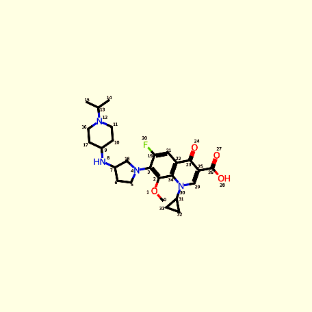 COc1c(N2CCC(NC3CCN(C(C)C)CC3)C2)c(F)cc2c(=O)c(C(=O)O)cn(C3CC3)c12